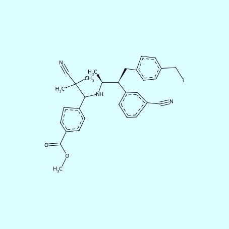 COC(=O)c1ccc(C(N[C@@H](C)[C@@H](Cc2ccc(CI)cc2)c2cccc(C#N)c2)C(C)(C)C#N)cc1